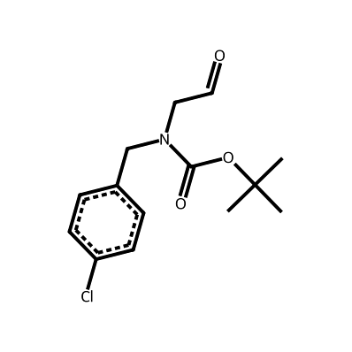 CC(C)(C)OC(=O)N(CC=O)Cc1ccc(Cl)cc1